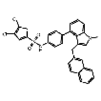 Cn1cc(Cc2ccc3ccccc3c2)c2c(-c3ccc(NS(=O)(=O)c4cc(Cl)c(Cl)s4)cc3)cccc21